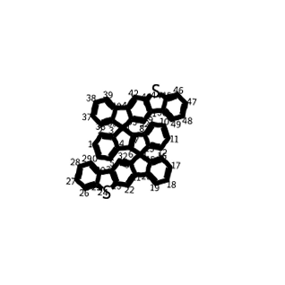 c1ccc2c(c1)C1=C(c3ccccc3C13c1ccccc1-c1cc4sc5ccccc5c4cc13)C21c2ccccc2-c2cc3sc4ccccc4c3cc21